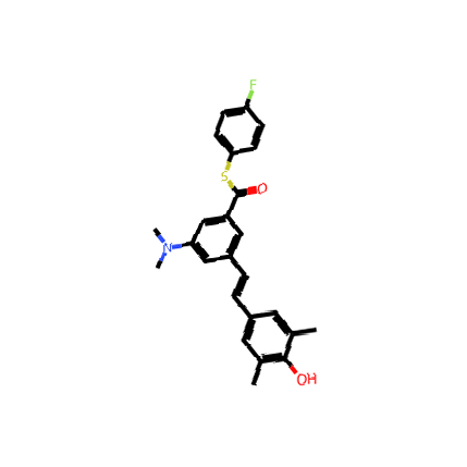 Cc1cc(C=Cc2cc(C(=O)Sc3ccc(F)cc3)cc(N(C)C)c2)cc(C)c1O